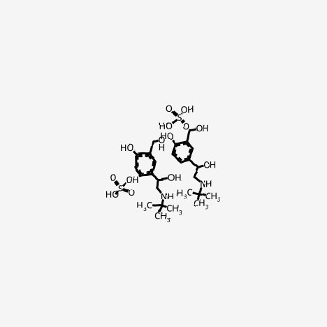 CC(C)(C)NCC(O)c1ccc(O)c(CO)c1.CC(C)(C)NCC(O)c1ccc(O)c(CO)c1.O=S(=O)(O)O.O=S(=O)(O)O